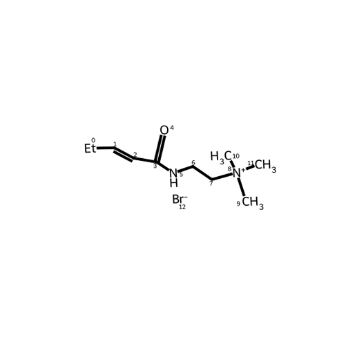 CCC=CC(=O)NCC[N+](C)(C)C.[Br-]